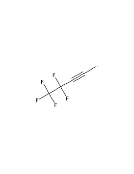 [CH2]C#CC(F)(F)C(F)(F)F